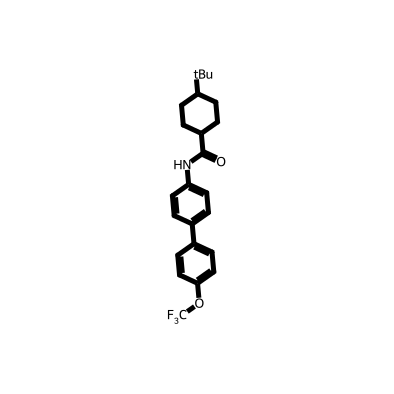 CC(C)(C)C1CCC(C(=O)Nc2ccc(-c3ccc(OC(F)(F)F)cc3)cc2)CC1